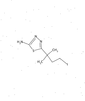 CC(C)(CCI)c1nnc(N)s1